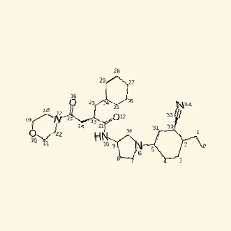 CCC1CCC(N2CCC(NC(=O)[C@@H](CC(=O)N3CCOCC3)CC3CCCCC3)C2)C[C@H]1C#N